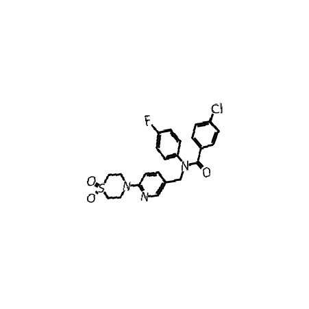 O=C(c1ccc(Cl)cc1)N(Cc1ccc(N2CCS(=O)(=O)CC2)nc1)c1ccc(F)cc1